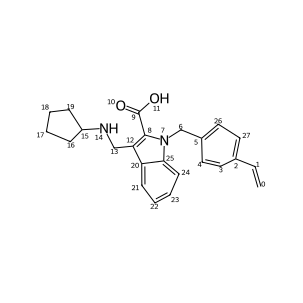 C=Cc1ccc(Cn2c(C(=O)O)c(CNC3CCCC3)c3ccccc32)cc1